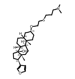 CN(C)CCCSCCO[C@H]1CC[C@@]2(C)[C@H](CC[C@@H]3[C@@H]2CC[C@]2(C)[C@@H](c4ccoc4)CC[C@]32O)C1